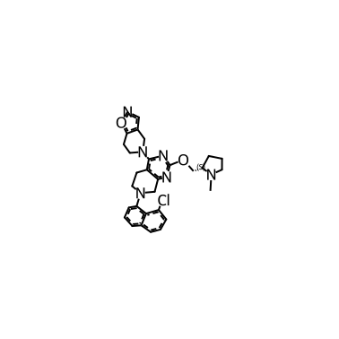 CN1CCC[C@H]1COc1nc2c(c(N3CCc4oncc4C3)n1)CCN(c1cccc3cccc(Cl)c13)C2